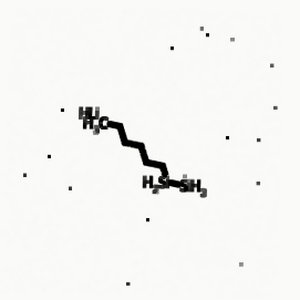 CCCCCC[SiH2][SiH3].[LiH]